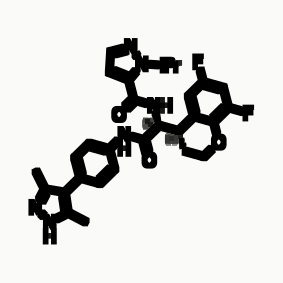 Cc1n[nH]c(C)c1-c1ccc(NC(=O)[C@@H](NC(=O)c2ccnn2C(C)C)[C@H]2CCOc3c(F)cc(F)cc32)cc1